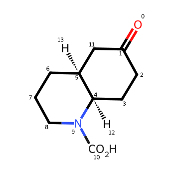 O=C1CC[C@@H]2[C@@H](CCCN2C(=O)O)C1